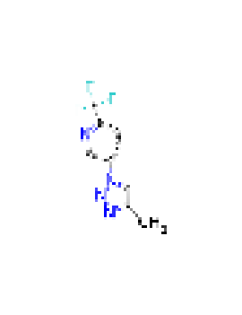 Cc1cn(-c2ccc(C(F)(F)F)nc2)nn1